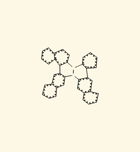 c1ccc2c(c1)B1c3ccc4ccccc4c3-c3cc4ccccc4cc3N1c1cc3ccccc3cc1-2